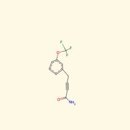 NC(=O)C#CCc1cccc(OC(F)(F)F)c1